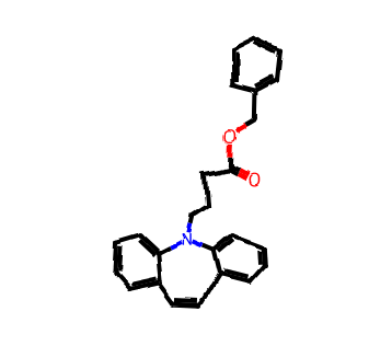 O=C(CCCN1c2ccccc2C=Cc2ccccc21)OCc1ccccc1